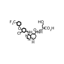 O=C(NCCN(CCO)C(=O)O)C1=Cc2c(ncnc2Nc2ccc(Oc3cccc(C(F)(F)F)c3)c(Cl)c2)NCC1